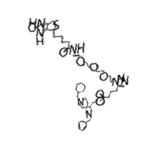 O=C(CCCCC1SCC2NC(=O)NC21)NCCOCCOCCOCCn1nncc1CCCC(=O)OCC1CN(Cc2ccccc2)CC12CCN(CC1CCCCC1)CC2